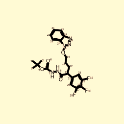 CC(C)(C)OC(=O)NNC(=O)C(CCCOn1nnc2ccccc21)c1cc(F)c(F)c(F)c1